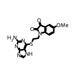 COc1ccc2c(c1)C(=O)C(=O)N2CCSc1nc(N)nc2nc[nH]c12